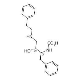 O=C(O)N[C@@H](Cc1ccccc1)[C@H](O)CNCCc1ccccc1